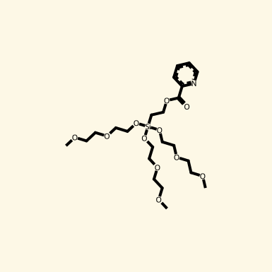 COCCOCCO[Si](CCOC(=O)c1ccccn1)(OCCOCCOC)OCCOCCOC